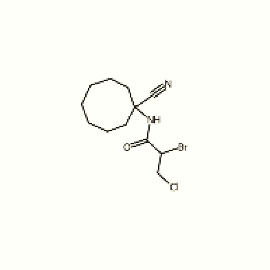 N#CC1(NC(=O)C(Br)CCl)CCCCCCC1